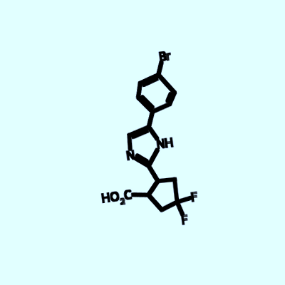 O=C(O)C1CC(F)(F)CC1c1ncc(-c2ccc(Br)cc2)[nH]1